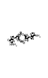 Nc1nc2c(ncn2C2C[C@@H]3O[PH](=O)OC[C@H]4O[C@@H](n5cnc6c(N)ncnc65)[C@H](F)[C@@H]4O[PH](=O)OC[C@H]3O2)c(=O)[nH]1